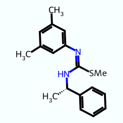 CSC(=Nc1cc(C)cc(C)c1)N[C@@H](C)c1ccccc1